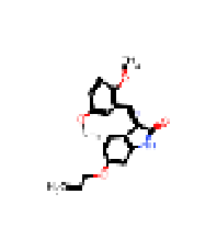 C=CCOc1ccc2c(c1)NC(=O)/C2=C/c1cc(OC)ccc1OC